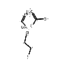 C=C(Cl)Cl.C=COC(C)=O.ClCCCl